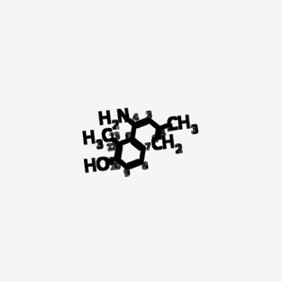 C=C(C)/C=C(/N)c1cccc(O)c1C